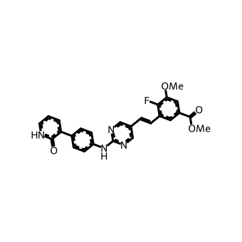 COC(=O)c1cc(C=Cc2cnc(Nc3ccc(-c4ccc[nH]c4=O)cc3)nc2)c(F)c(OC)c1